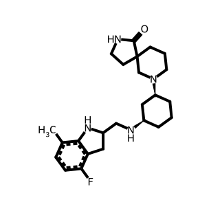 Cc1ccc(F)c2c1NC(CN[C@@H]1CCC[C@H](N3CCCC4(CCNC4=O)C3)C1)C2